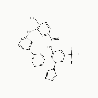 Cc1ccc(C(=O)Nc2cc(-n3ccnc3)cc(C(F)(F)F)c2)cc1Nc1nccc(-c2ccccc2)n1